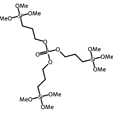 CO[Si](CCCOP(=O)(OCCC[Si](OC)(OC)OC)OCCC[Si](OC)(OC)OC)(OC)OC